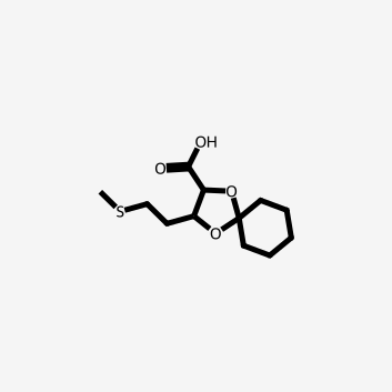 CSCCC1OC2(CCCCC2)OC1C(=O)O